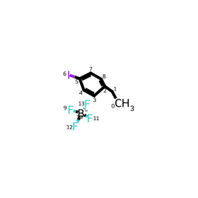 CCc1ccc(I)cc1.F[B-](F)(F)F